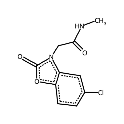 CNC(=O)Cn1c(=O)oc2ccc(Cl)cc21